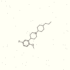 CCCC1CCC(N2CCC(c3cc(F)ccc3OC)CC2)CC1